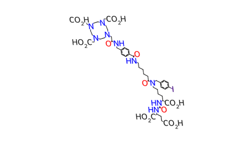 O=C(O)CCC(NC(=O)NC(CCCCN(Cc1ccc(I)cc1)C(=O)CCCCCNC(=O)c1ccc(CNC(=O)CN2CCN(CC(=O)O)CCN(CC(=O)O)CCN(CC(=O)O)CC2)cc1)C(=O)O)C(=O)O